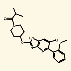 COc1ccccc1-c1nc2nc(OC3CCN(C(=O)C(C)C)CC3)[nH]c2cc1Cl